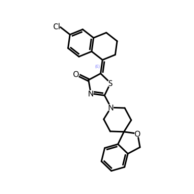 O=C1N=C(N2CCC3(CC2)OCc2ccccc23)S/C1=C1\CCCc2cc(Cl)ccc21